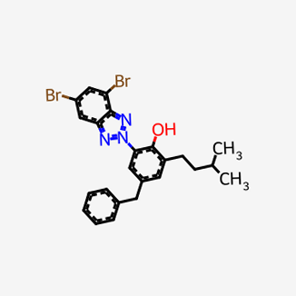 CC(C)CCc1cc(Cc2ccccc2)cc(-n2nc3cc(Br)cc(Br)c3n2)c1O